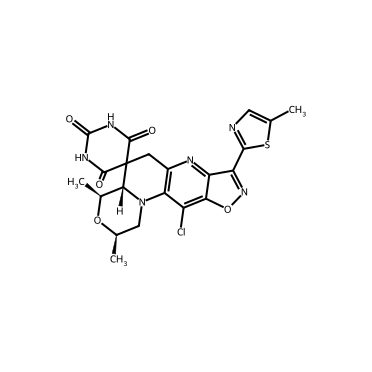 Cc1cnc(-c2noc3c(Cl)c4c(nc23)CC2(C(=O)NC(=O)NC2=O)[C@H]2[C@H](C)O[C@H](C)CN42)s1